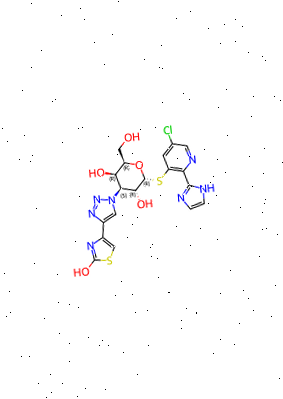 OC[C@H]1O[C@H](Sc2cc(Cl)cnc2-c2ncc[nH]2)[C@H](O)[C@@H](n2cc(-c3csc(O)n3)nn2)[C@H]1O